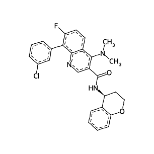 CN(C)c1c(C(=O)N[C@H]2CCOc3ccccc32)cnc2c(-c3cccc(Cl)c3)c(F)ccc12